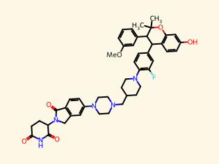 COc1cccc(C2C(c3ccc(N4CCC(CN5CCN(c6ccc7c(c6)CN(C6CCC(=O)NC6=O)C7=O)CC5)CC4)c(F)c3)c3ccc(O)cc3OC2(C)C)c1